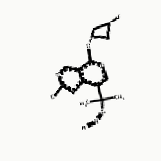 CC(C)(N=[N+]=[N-])c1cnc(O[C@H]2C[C@H](F)C2)c2cnc(Cl)cc12